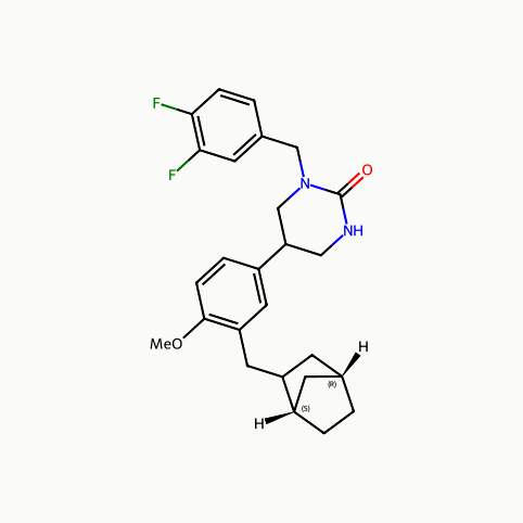 COc1ccc(C2CNC(=O)N(Cc3ccc(F)c(F)c3)C2)cc1CC1C[C@@H]2CC[C@H]1C2